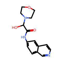 O=C(Nc1ccc2cnccc2c1)C(O)N1CCOCC1